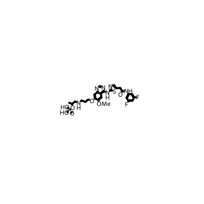 COc1cc2c(Nc3ncc(CC(=O)Nc4cc(F)cc(F)c4)s3)ncnc2cc1OCCCNCC(C)OP(=O)(O)O